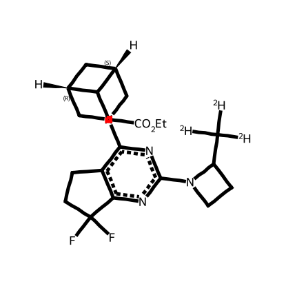 [2H]C([2H])([2H])C1CCN1c1nc(N2C[C@H]3C[C@@H](C2)C3CC(=O)OCC)c2c(n1)C(F)(F)CC2